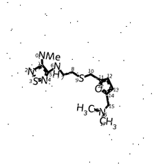 CNc1nsnc1NCCSCc1ccc(CN(C)C)o1